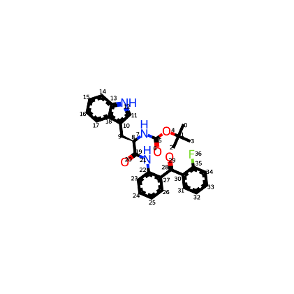 CC(C)(C)OC(=O)N[C@H](Cc1c[nH]c2ccccc12)C(=O)Nc1ccccc1C(=O)c1ccccc1F